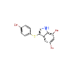 Brc1ccc(Sc2c[nH]c3c(Br)cc(Br)cc23)cc1